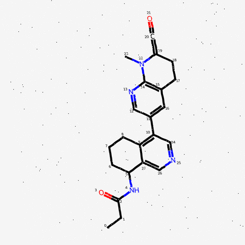 CCC(=O)NC1CCCc2c(-c3cnc4c(c3)CCC(=C=O)N4C)cncc21